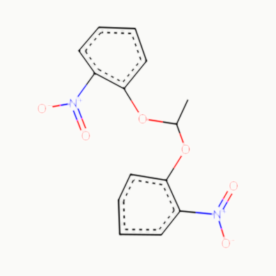 CC(Oc1ccccc1[N+](=O)[O-])Oc1ccccc1[N+](=O)[O-]